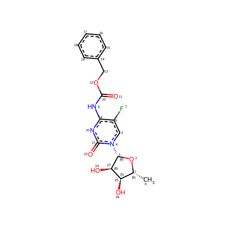 C[C@H]1O[C@@H](n2cc(F)c(NC(=O)OCc3ccccc3)nc2=O)[C@H](O)[C@@H]1O